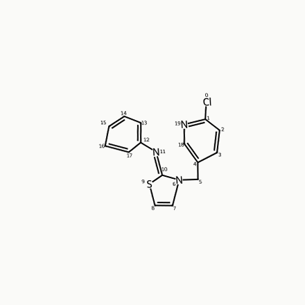 Clc1ccc(Cn2ccsc2=Nc2ccccc2)cn1